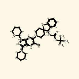 CC(C)(C)OC(=O)N[C@@H]1c2ccccc2OC12CCN(c1nc3c(nc1Br)c(N1CCCCC1)nn3C1CCCCO1)CC2